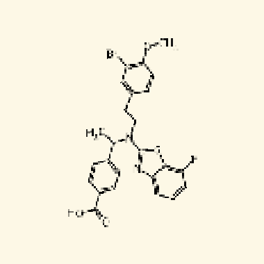 COc1ccc(CCN(c2nc3cccc(F)c3s2)C(C)c2ccc(C(=O)O)cc2)cc1Br